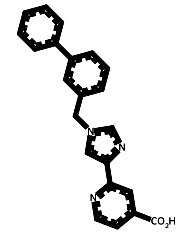 O=C(O)c1ccnc(-c2cn(Cc3cccc(-c4ccccc4)c3)cn2)c1